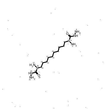 NNC(=O)N(N)CCCCCCCCCCN(N)C(=O)NN